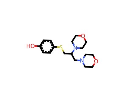 Oc1ccc(SCC(CN2CCOCC2)N2CCOCC2)cc1